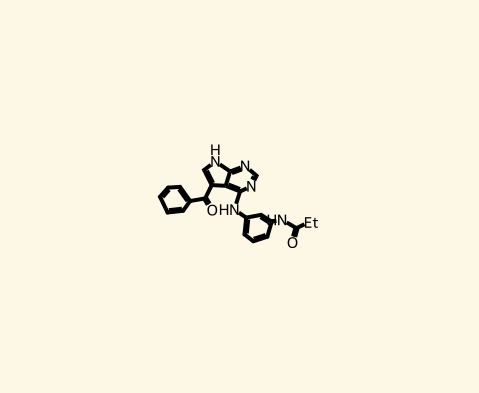 CCC(=O)Nc1cccc(Nc2ncnc3[nH]cc(C(=O)c4ccccc4)c23)c1